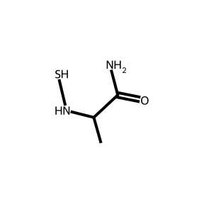 CC(NS)C(N)=O